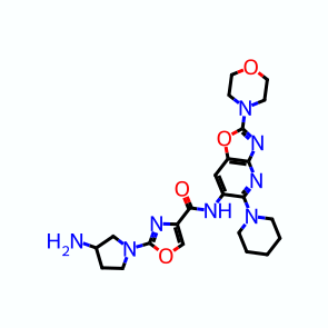 NC1CCN(c2nc(C(=O)Nc3cc4oc(N5CCOCC5)nc4nc3N3CCCCC3)co2)C1